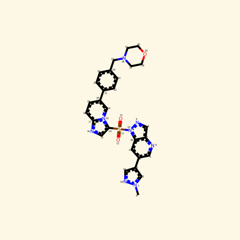 Cn1cc(-c2cnc3cnn(S(=O)(=O)c4cnc5ccc(-c6ccc(CN7CCOCC7)cc6)cn45)c3c2)cn1